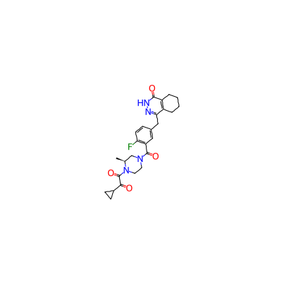 C[C@H]1CN(C(=O)c2cc(Cc3n[nH]c(=O)c4c3CCCC4)ccc2F)CCN1C(=O)C(=O)C1CC1